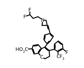 O=C(O)c1ccc2c(c1)CCCC(c1cccc(F)c1C(F)(F)F)=C2c1ccc(C=C2CN(CCC(F)F)C2)cc1